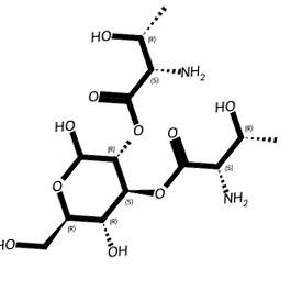 C[C@@H](O)[C@H](N)C(=O)O[C@H]1[C@H](O)[C@@H](CO)OC(O)[C@@H]1OC(=O)[C@@H](N)[C@@H](C)O